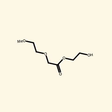 COCCOCC(=O)OCCO